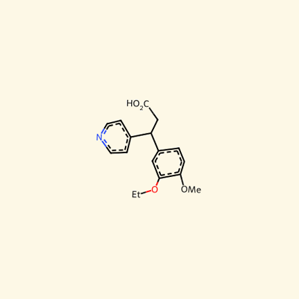 CCOc1cc(C(CC(=O)O)c2ccncc2)ccc1OC